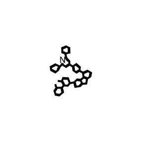 CC1=C(c2ccccc2C)CC(c2ccc3c(c2)-c2c(cccc2-c2ccc(-c4cc(-c5ccccc5)nc(-c5ccccc5)c4)cc2)C3)C=C1